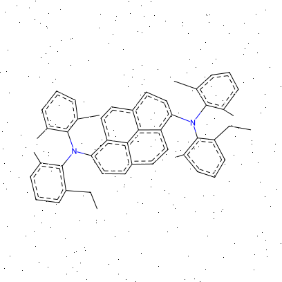 CCc1cccc(C)c1N(c1c(C)cccc1C)c1ccc2ccc3c(N(c4c(C)cccc4C)c4c(C)cccc4CC)ccc4ccc1c2c43